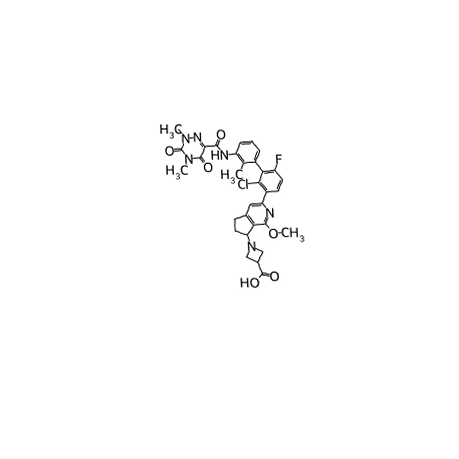 COc1nc(-c2ccc(F)c(-c3cccc(NC(=O)c4nn(C)c(=O)n(C)c4=O)c3C)c2Cl)cc2c1C(N1CC(C(=O)O)C1)CC2